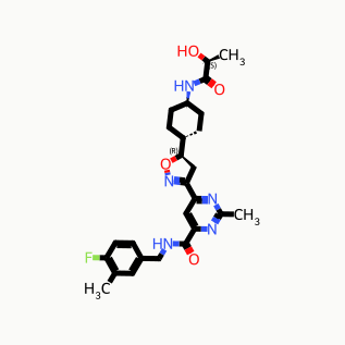 Cc1nc(C(=O)NCc2ccc(F)c(C)c2)cc(C2=NO[C@@H]([C@H]3CC[C@H](NC(=O)[C@H](C)O)CC3)C2)n1